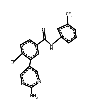 Nc1ncc(-c2cc(C(=O)Nc3cccc(C(F)(F)F)c3)ccc2Cl)cn1